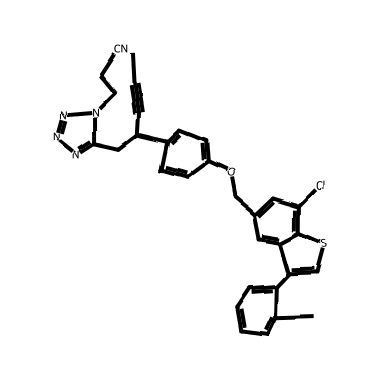 CC#CC(Cc1nnnn1CCC#N)c1ccc(OCc2cc(Cl)c3scc(-c4ccccc4C)c3c2)cc1